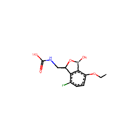 CCOc1ccc(F)c2c1B(O)OC2CNC(=O)O